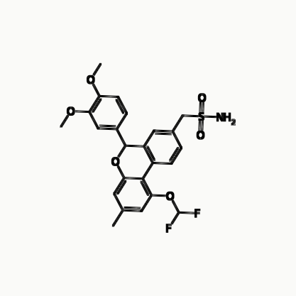 COc1ccc(C2Oc3cc(C)cc(OC(F)F)c3-c3ccc(CS(N)(=O)=O)cc32)cc1OC